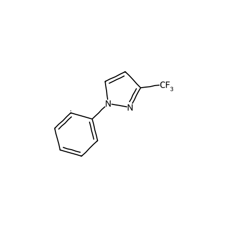 FC(F)(F)c1ccn(-c2[c]cccc2)n1